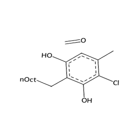 C=O.CCCCCCCCCc1c(O)cc(C)c(Cl)c1O